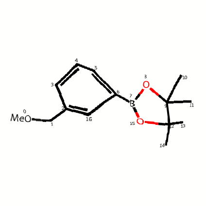 COCc1cccc(B2OC(C)(C)C(C)(C)O2)c1